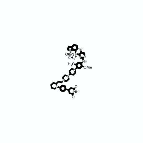 COc1cc(N2CCC(N3CCN(CCC4CCCCN4c4ccc(C5CC(=O)NC(=O)C5)cc4)CC3)CC2)c(C)cc1Nc1ncc(Br)c(Nc2cccc3ccn(S(C)(=O)=O)c23)n1